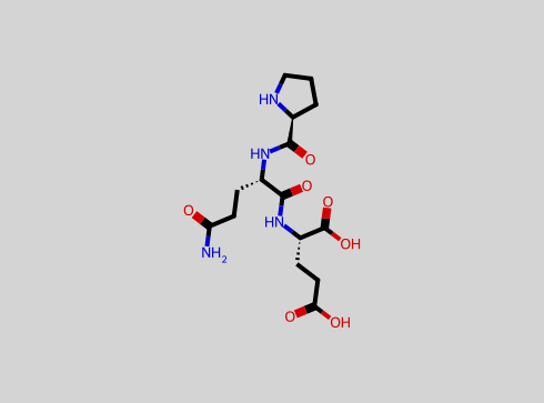 NC(=O)CC[C@H](NC(=O)[C@@H]1CCCN1)C(=O)N[C@@H](CCC(=O)O)C(=O)O